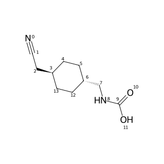 N#CC[C@H]1CC[C@H](CNC(=O)O)CC1